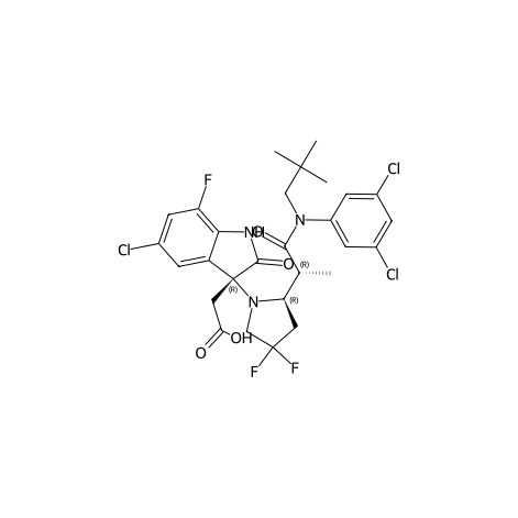 C[C@@H](C(=O)N(CC(C)(C)C)c1cc(Cl)cc(Cl)c1)[C@H]1CC(F)(F)CN1[C@@]1(CC(=O)O)C(=O)Nc2c(F)cc(Cl)cc21